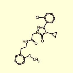 COc1ccccc1CCNC(=O)Cn1nc(-c2ccccc2Cl)n(C2CC2)c1=O